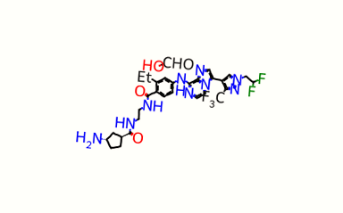 CCc1cc(Nc2nccn3c(-c4cn(CC(F)F)nc4C(F)(F)F)cnc23)ccc1C(=O)NCCNC(=O)[C@H]1CC[C@H](N)C1.O=CO